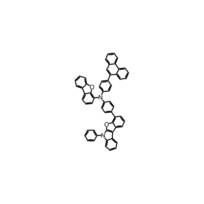 c1ccc(-n2c3ccccc3c3c4cccc(-c5ccc(N(c6ccc(-c7cc8ccccc8c8ccccc78)cc6)c6cccc7c6oc6ccccc67)cc5)c4oc32)cc1